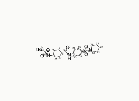 CC(C)(C)S(=O)(=O)N[C@H]1CC[C@H](C(=O)Nc2ccc(S(=O)(=O)N3CCCCC3)cc2)CC1